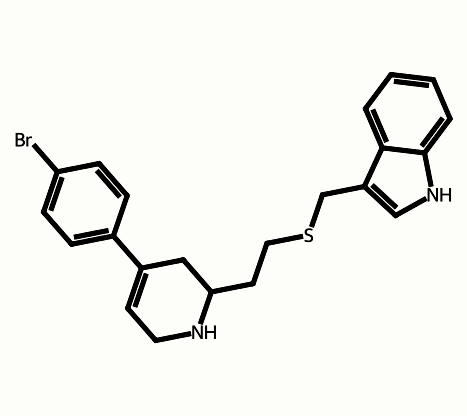 Brc1ccc(C2=CCNC(CCSCc3c[nH]c4ccccc34)C2)cc1